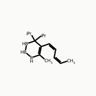 C/C=C\C=C/C1=C(C)BBBC1(C(C)C)C(C)C